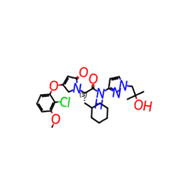 COc1cccc(OC2=CC(=O)N([C@@H](CC3CCCCC3)C(=O)Nc3ccn(CC(C)(C)O)n3)C2)c1Cl